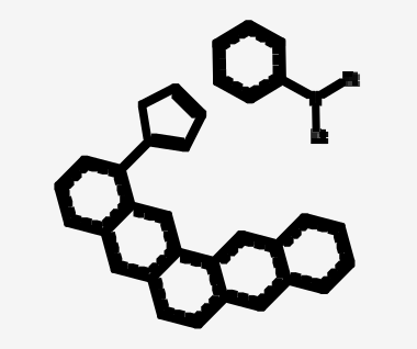 C1=CCC(c2cccc3cc4ccc5cc6ccccc6cc5c4cc23)=C1.CCN(CC)c1ccccc1